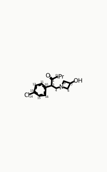 CC(C)C(=O)C(CN1CC(O)C1)c1ccc(Cl)cc1